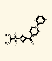 CC(C)S(=O)(=O)N1CC(C(=O)N2CCN(c3ccccc3)CC2)C1